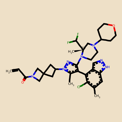 C=CC(=O)N1CC2(CC(n3nc(N4CCN(C5CCOCC5)C[C@@]4(C)C(F)F)c(-c4c(Cl)c(C)cc5[nH]ncc45)c3C)C2)C1